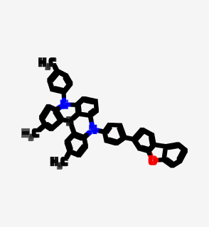 Cc1ccc(N2c3ccc(C)cc3B3c4cc(C)ccc4N(c4ccc(-c5ccc6c(c5)oc5ccccc56)cc4)c4cccc2c43)cc1